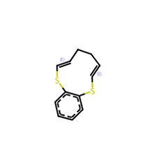 C1=C/Sc2ccccc2S/C=C/CC/1